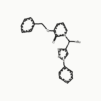 CCCCC(c1cn(-c2ccccc2)nn1)n1cccc(OCc2ccccc2)c1=O